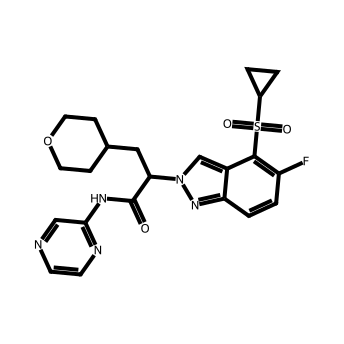 O=C(Nc1cnccn1)C(CC1CCOCC1)n1cc2c(S(=O)(=O)C3CC3)c(F)ccc2n1